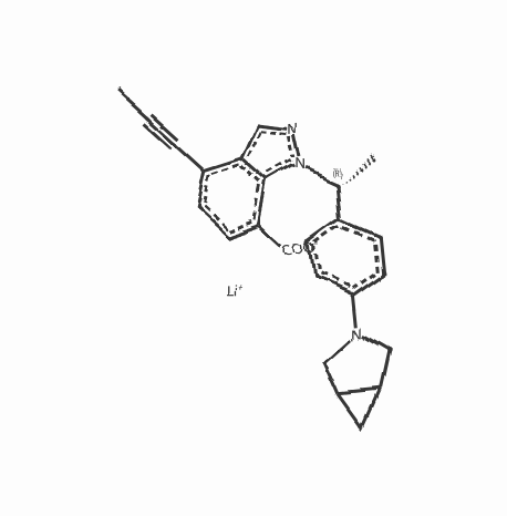 CC#Cc1ccc(C(=O)[O-])c2c1cnn2[C@H](C)c1ccc(N2CC3CC3C2)cc1.[Li+]